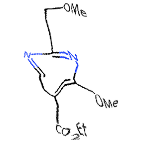 CCOC(=O)c1cnc(COC)nc1OC